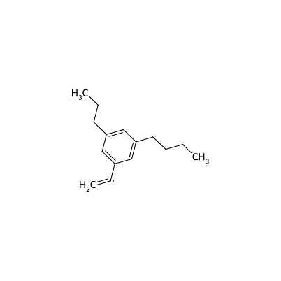 C=[C]c1cc(CCC)cc(CCCC)c1